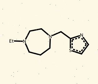 CCN1CCCN(Cc2nccs2)CC1